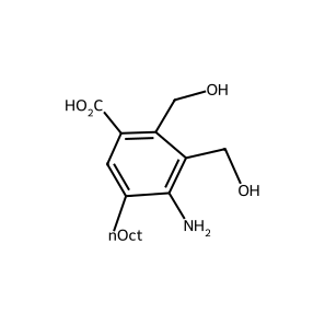 CCCCCCCCc1cc(C(=O)O)c(CO)c(CO)c1N